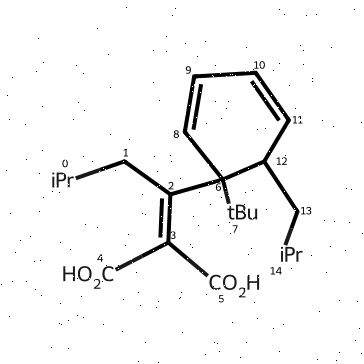 CC(C)CC(=C(C(=O)O)C(=O)O)C1(C(C)(C)C)C=CC=CC1CC(C)C